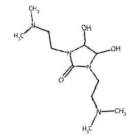 CN(C)CCN1C(=O)N(CCN(C)C)C(O)C1O